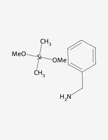 CO[Si](C)(C)OC.NCc1ccccc1